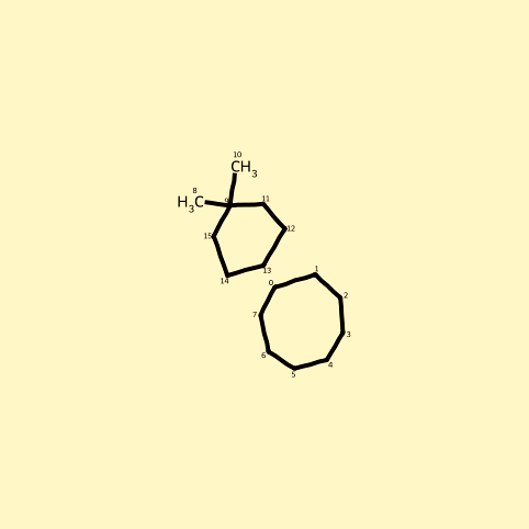 C1CCCCCCC1.CC1(C)CCCCC1